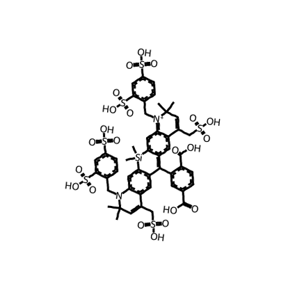 CC1(C)C=C(CS(=O)(=O)O)c2cc3c(cc2N1Cc1ccc(S(=O)(=O)O)cc1S(=O)(=O)O)[Si](C)(C)c1cc2c(cc1=C3c1cc(C(=O)O)ccc1C(=O)O)C(CS(=O)(=O)O)=CC(C)(C)[N+]=2Cc1ccc(S(=O)(=O)O)cc1S(=O)(=O)O